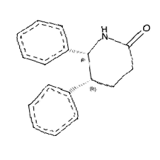 O=C1CC[C@H](c2ccccc2)[C@H](c2ccccc2)N1